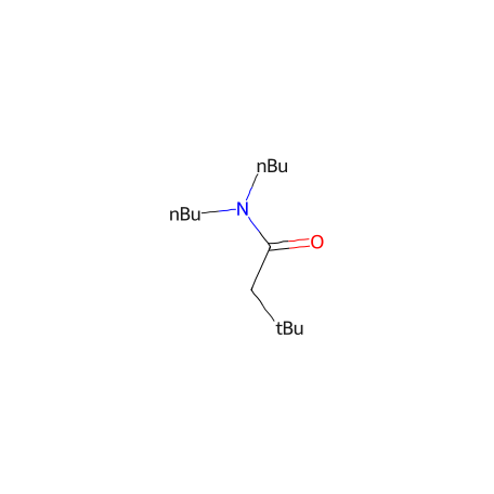 CCCCN(CCCC)C(=O)CC(C)(C)C